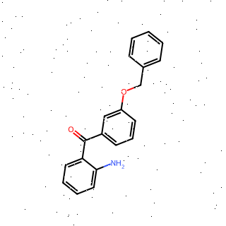 Nc1ccccc1C(=O)c1cccc(OCc2ccccc2)c1